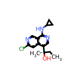 CC[C@@](C)(O)c1cnc(NC2CC2)c2cnc(Cl)cc12